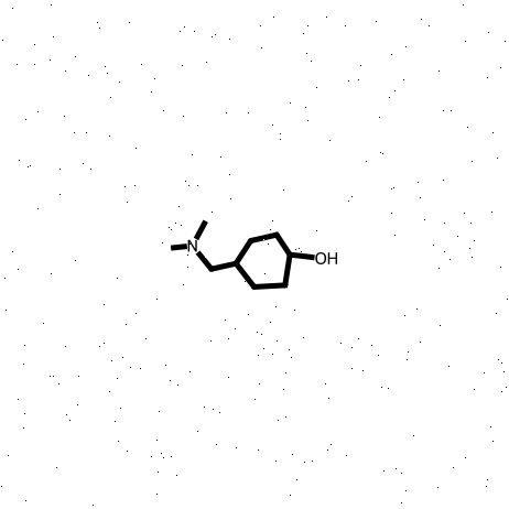 CN(C)CC1CCC(O)CC1